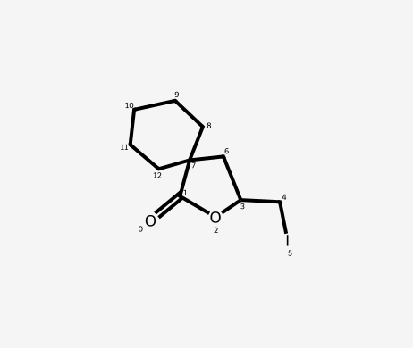 O=C1OC(CI)CC12CCCCC2